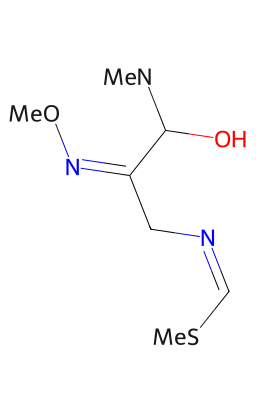 CNC(O)/C(C/N=C\SC)=N\OC